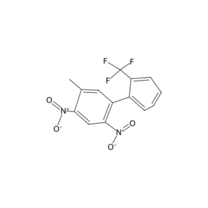 Cc1cc(-c2ccccc2C(F)(F)F)c([N+](=O)[O-])cc1[N+](=O)[O-]